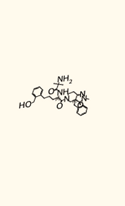 CN1N=C2CCN(C(=O)[C@@H](CCCc3ccccc3CO)NC(=O)C(C)(C)N)C[C@@]2(Cc2ccccc2)C1=O